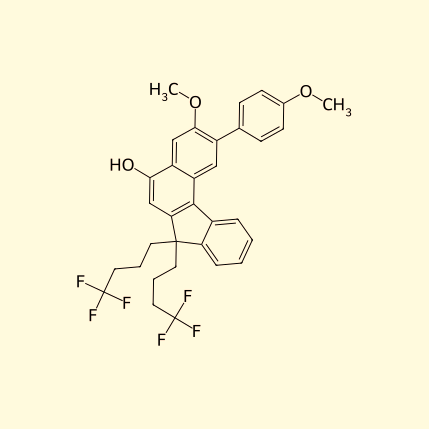 COc1ccc(-c2cc3c4c(cc(O)c3cc2OC)C(CCCC(F)(F)F)(CCCC(F)(F)F)c2ccccc2-4)cc1